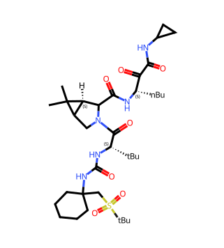 CCCC[C@H](NC(=O)C1[C@H]2C(CN1C(=O)[C@@H](NC(=O)NC1(CS(=O)(=O)C(C)(C)C)CCCCC1)C(C)(C)C)C2(C)C)C(=O)C(=O)NC1CC1